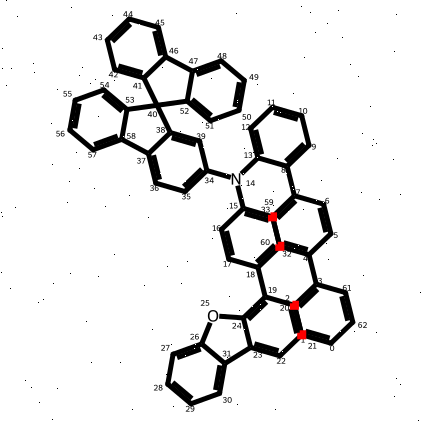 c1ccc(-c2ccc(-c3ccccc3N(c3ccc(-c4cccc5c4oc4ccccc45)cc3)c3ccc4c(c3)C3(c5ccccc5-c5ccccc53)c3ccccc3-4)cc2)cc1